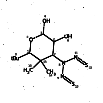 CC(C)(C)C1OC(O)C(O)C(N(N=S)N=S)C1(C)C